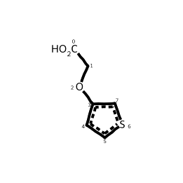 O=C(O)COc1ccsc1